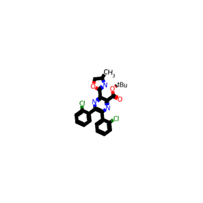 CC1COC(c2nc(-c3ccccc3Cl)c(-c3ccccc3Cl)nc2C(=O)OC(C)(C)C)=N1